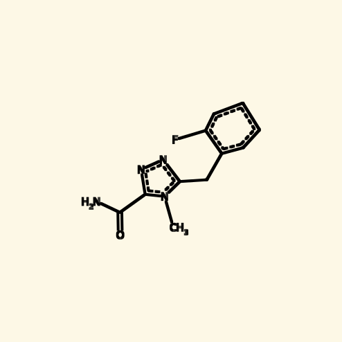 Cn1c(Cc2ccccc2F)nnc1C(N)=O